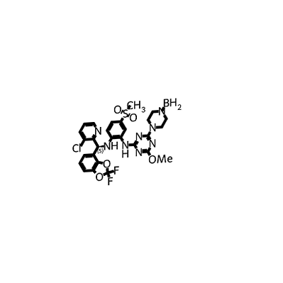 BN1CCN(c2nc(Nc3cc(S(C)(=O)=O)ccc3N[C@@H](c3cccc4c3OC(F)(F)O4)c3ncccc3Cl)nc(OC)n2)CC1